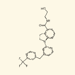 O=C(NCCO)c1cccc2c1CCN2c1cc(Cc2cccc(C(F)(F)F)c2)ccn1